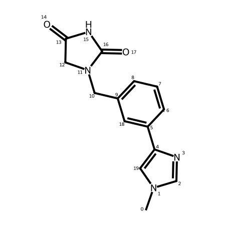 Cn1cnc(-c2[c]ccc(CN3CC(=O)NC3=O)c2)c1